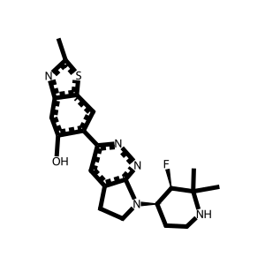 Cc1nc2cc(O)c(-c3cc4c(nn3)N([C@@H]3CCNC(C)(C)[C@@H]3F)CC4)cc2s1